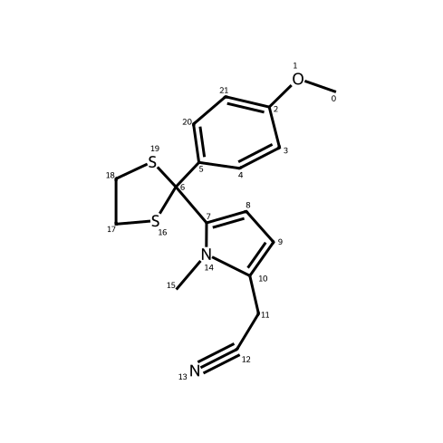 COc1ccc(C2(c3ccc(CC#N)n3C)SCCS2)cc1